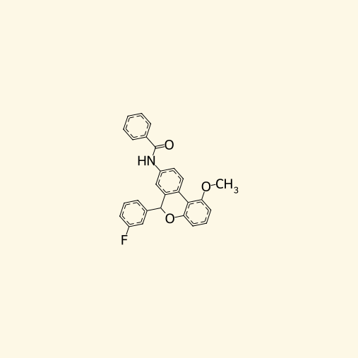 COc1cccc2c1-c1ccc(NC(=O)c3ccccc3)cc1C(c1cccc(F)c1)O2